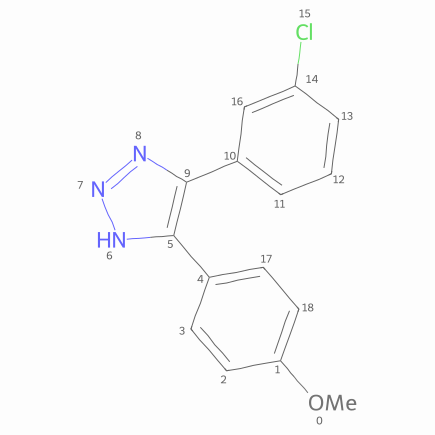 COc1ccc(-c2[nH]nnc2-c2cccc(Cl)c2)cc1